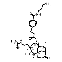 C[C@@H]1CC2C[C@@]3(CCC2=O)C[C@]1(C)[C@H](OC(=O)CSc1ccc(C(=O)NCCCN)cc1)C[C@](C)(CCNC(=N)N)[C@@H](O)[C@@H]3C